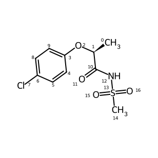 C[C@H](Oc1ccc(Cl)cc1)C(=O)NS(C)(=O)=O